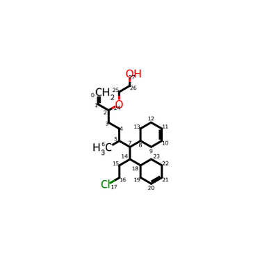 C=CC(CCC(C)C(C1CC=CCC1)C(CCCl)C1CC=CCC1)OCCO